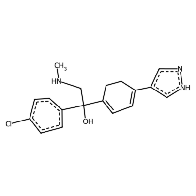 CNCC(O)(C1=CC=C(c2cn[nH]c2)CC1)c1ccc(Cl)cc1